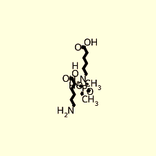 CCP(C)(=O)O.NCCCCCC(=O)O.NCCCCCC(=O)O